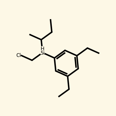 CCc1cc(CC)cc([SiH](CCl)C(C)CC)c1